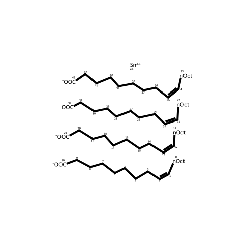 CCCCCCCC/C=C\CCCCCCCC(=O)[O-].CCCCCCCC/C=C\CCCCCCCC(=O)[O-].CCCCCCCC/C=C\CCCCCCCC(=O)[O-].CCCCCCCC/C=C\CCCCCCCC(=O)[O-].[Sn+4]